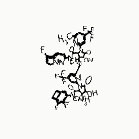 Cc1cc(C(F)(F)F)cc(N2C(=O)C(O)C(OCc3cc(C(F)(F)F)cc(N4C(=O)C(O)C(O)C4C(=O)N(C)c4cc5c(c(F)c4F)CC5)n3)C2C(=O)N(C)c2ccc3c(F)ccn3n2)n1